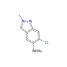 CC(=O)Nc1cc2cn(C)nc2cc1Cl